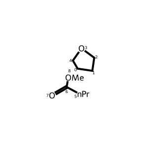 C1CCOC1.CCCC(=O)OC